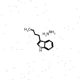 CCCCc1c[nH]c2ccccc12.N.N